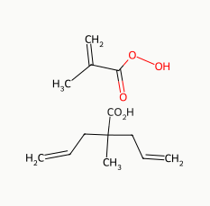 C=C(C)C(=O)OO.C=CCC(C)(CC=C)C(=O)O